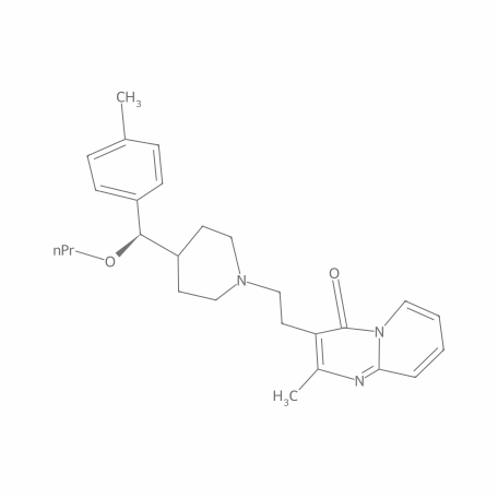 CCCO[C@@H](c1ccc(C)cc1)C1CCN(CCc2c(C)nc3ccccn3c2=O)CC1